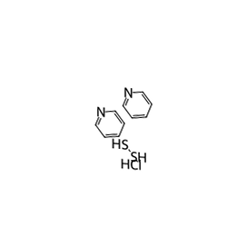 Cl.SS.c1ccncc1.c1ccncc1